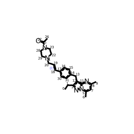 CCc1nn2c(C)cc(C)nc2c1Cc1ccc(/C=C/CN2CCN(C(C)=O)CC2)cc1